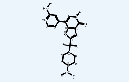 CNc1cc(-c2cn(C)c(=O)c3cc(C(C)(C)N4CCN([S+](C)[O-])CC4)oc23)ccn1